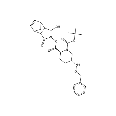 CC(C)(C)OC(=O)N1C[C@H](NOCc2ccccc2)CC[C@H]1C(=O)ON1C(=O)C2C3C=CC(C3)C2C1O